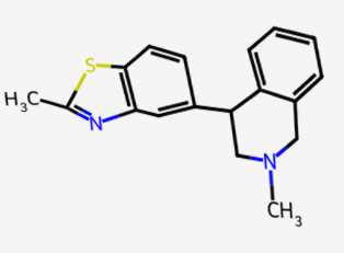 Cc1nc2cc(C3CN(C)Cc4ccccc43)ccc2s1